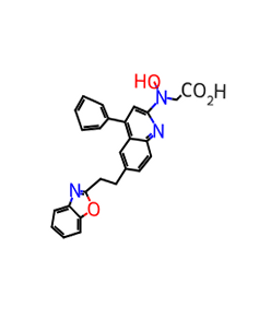 O=C(O)CN(O)c1cc(-c2ccccc2)c2cc(CCc3nc4ccccc4o3)ccc2n1